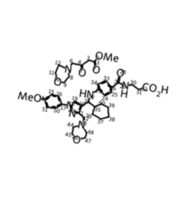 COC(=O)CC(=O)CN1CCOCC1.COc1ccc(-n2cc(C(Nc3ccc(C(=O)NCCC(=O)O)cc3)C3CCCCC3)c(CN3CCOCC3)n2)cc1